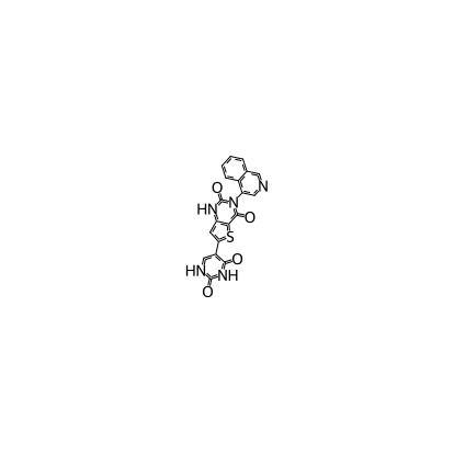 O=c1[nH]cc(-c2cc3[nH]c(=O)n(-c4cncc5ccccc45)c(=O)c3s2)c(=O)[nH]1